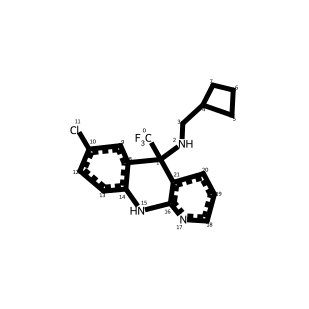 FC(F)(F)C1(NCC2CCC2)c2cc(Cl)ccc2Nc2ncccc21